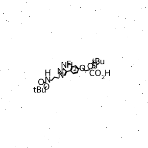 CC(C)(C)OC(=O)NCCCn1cc(-c2ccc(OCC(O[Si](C)(C)C(C)(C)C)C(=O)O)cc2F)c(N)n1